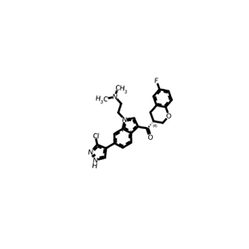 CN(C)CCn1cc(C(=O)[C@H]2COc3ccc(F)cc3C2)c2ccc(-c3c[nH]nc3Cl)cc21